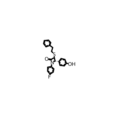 O=C1[C@@H](SCCc2ccccc2)[C@H](c2ccc(O)cc2)N1c1ccc(F)cc1